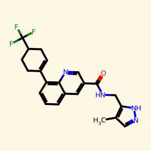 Cc1cn[nH]c1CNC(=O)c1cnc2c(C3=CCC(C(F)(F)F)CC3)cccc2c1